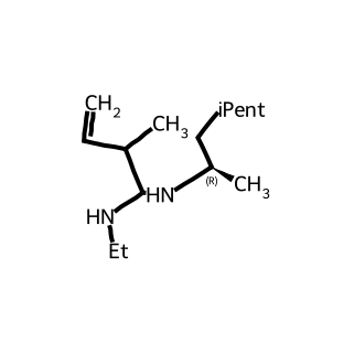 C=CC(C)C(NCC)N[C@H](C)CC(C)CCC